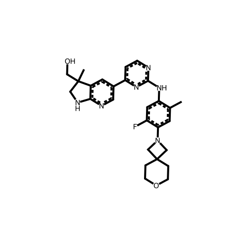 Cc1cc(N2CC3(CCOCC3)C2)c(F)cc1Nc1nccc(-c2cnc3c(c2)C(C)(CO)CN3)n1